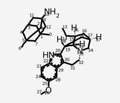 CC12CC3CC(C)(C1)CC(N)(C3)C2.CC[C@H]1C[C@@H]2C[C@H]3c4[nH]c5ccc(OC)cc5c4CC[N@@](C2)[C@@H]13